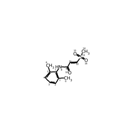 Cc1cccc(C)c1NC(=O)C=CS(C)(=O)=O